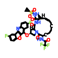 O=C1N[C@]2(C(=O)NS(=O)(=O)C3CC3)C[C@H]2/C=C\CCCCC[C@H](NC(=O)C(F)(F)F)C(=O)N2C[C@H](Oc3c4cc(F)ccc4nc4c3oc3ccc(F)cc34)C[C@@H]12